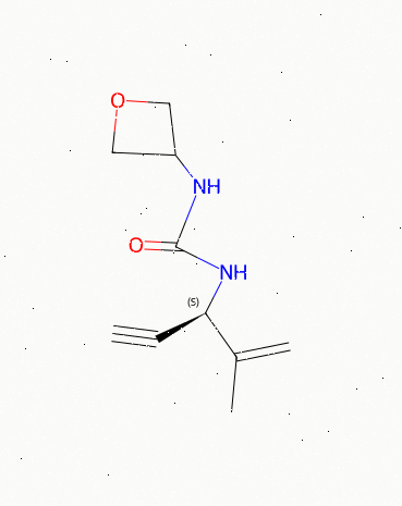 C#C[C@@H](NC(=O)NC1COC1)C(=C)C